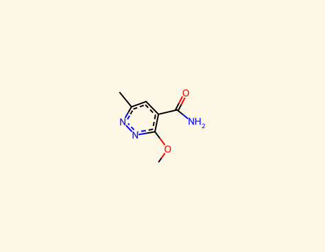 COc1nnc(C)cc1C(N)=O